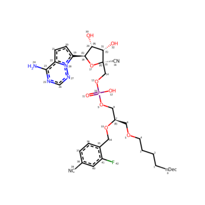 CCCCCCCCCCCCCCOC[C@H](COP(=O)(O)OC[C@@]1(C#N)O[C@@H](c2ccc3c(N)ncnn23)[C@H](O)[C@@H]1O)OCc1ccc(C#N)cc1F